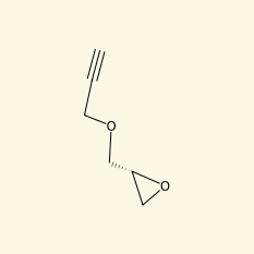 C#CCOC[C@H]1CO1